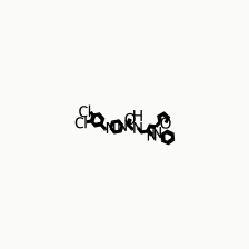 O=C(CNCc1cc(-c2ccco2)n(-c2ccccc2)n1)N1CCN(Cc2ccc(Cl)c(Cl)c2)CC1